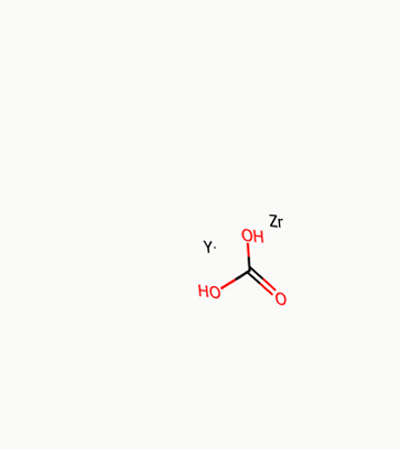 O=C(O)O.[Y].[Zr]